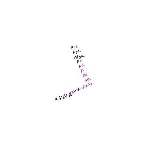 [Mo+6].[Mo+6].[Mo+6].[P-3].[P-3].[P-3].[P-3].[P-3].[P-3].[P-3].[P-3].[P-3].[P-3].[Pt+4].[Pt+4].[Pt+4]